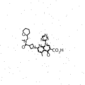 Cc1cc(N2CC(C(=O)N(C)CC3CCCCO3)C2)nc2c1c(=O)c(C(=O)O)cn2-c1ncns1